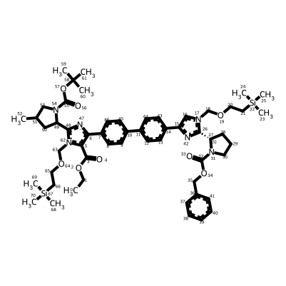 CCOC(=O)c1c(-c2ccc(-c3ccc(-c4cn(COCC[Si](C)(C)C)c([C@@H]5CCCN5C(=O)OCc5ccccc5)n4)cc3)cc2)nc(C2CC(C)CN2C(=O)OC(C)(C)C)n1COCC[Si](C)(C)C